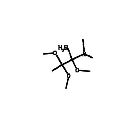 COC(C)(OC)C([SiH3])(OC)N(C)C